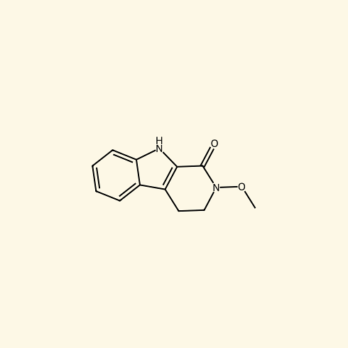 CON1CCc2c([nH]c3ccccc23)C1=O